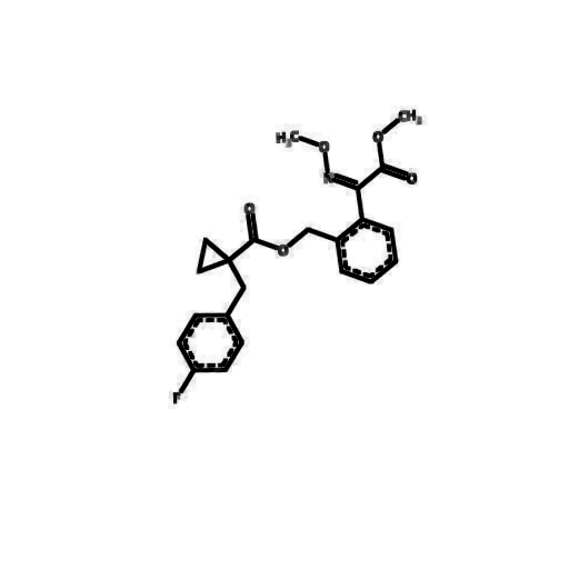 CON=C(C(=O)OC)c1ccccc1COC(=O)C1(Cc2ccc(F)cc2)CC1